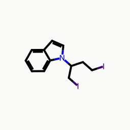 ICCC(CI)n1ccc2ccccc21